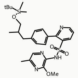 COc1nc(C)cnc1NS(=O)(=O)c1cccnc1-c1ccc(CC(C)CO[Si](C)(C)C(C)(C)C)cc1